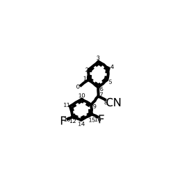 Cc1ccccc1C(C#N)c1ccc(F)cc1F